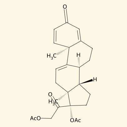 CC(=O)OCC(=O)[C@]1(OC(C)=O)CC[C@H]2[C@@H]3CCC4=CC(=O)C=C[C@]4(C)C3=CC[C@@]21C